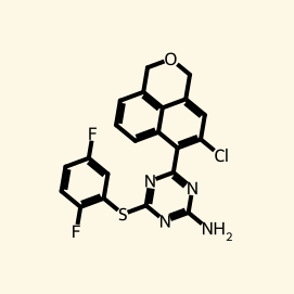 Nc1nc(Sc2cc(F)ccc2F)nc(-c2c(Cl)cc3c4c(cccc24)COC3)n1